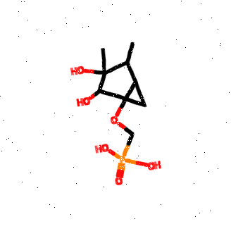 CC1C2CC2(OCP(=O)(O)O)C(O)C1(C)O